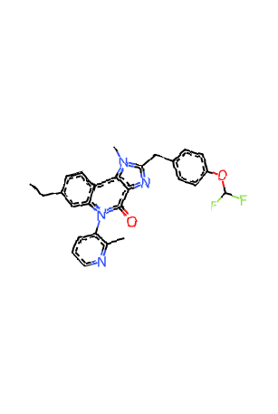 CCc1ccc2c3c(nc(Cc4ccc(OC(F)F)cc4)n3C)c(=O)n(-c3cccnc3C)c2c1